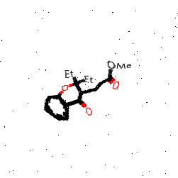 CCC1(CC)Oc2ccccc2C(=O)C1CCC(=O)OC